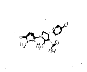 CC1[C@@H](C(=O)O)[C@@H](c2ccc(Cl)cn2)CN1c1ccc(=O)n(C)n1